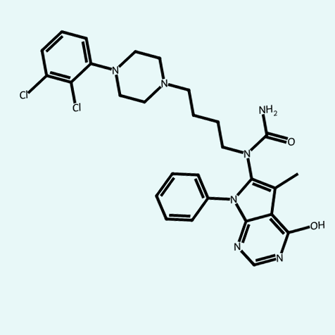 Cc1c(N(CCCCN2CCN(c3cccc(Cl)c3Cl)CC2)C(N)=O)n(-c2ccccc2)c2ncnc(O)c12